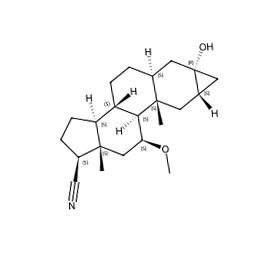 CO[C@H]1C[C@]2(C)[C@@H](C#N)CC[C@H]2[C@@H]2CC[C@H]3C[C@@]4(O)C[C@@H]4C[C@]3(C)[C@H]21